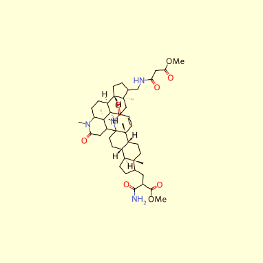 COC(=O)CC(=O)NCC1CC[C@H]2[C@@H]3CCC4N(C)C(=O)CC(C56CC[C@@H]7[C@@H](CC[C@]8(C)C(CC(C(N)=O)C(=O)OC)CC[C@@H]78)[C@@]5(C)C=CC(=O)N6C)[C@]4(C)[C@@H]3CC[C@]12C